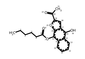 CCCCCC(=O)Oc1c2ccccc2c(O)c2cc(C(C)=O)oc12